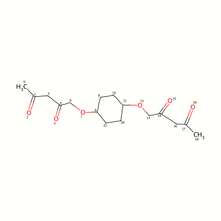 CC(=O)CC(=O)COC1CCC(OCC(=O)CC(C)=O)CC1